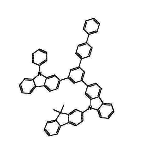 CC1(C)c2ccccc2-c2ccc(-n3c4ccccc4c4ccc(-c5cc(-c6ccc(-c7ccccc7)cc6)cc(-c6ccc7c8ccccc8n(-c8ccccc8)c7c6)c5)cc43)cc21